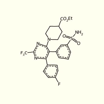 CCOC(=O)C1CCN(c2nc(C(F)(F)F)nc(-c3ccc(F)cc3)c2-c2cccc(S(N)(=O)=O)c2)CC1